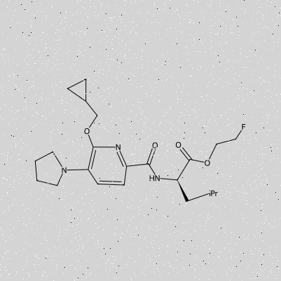 CC(C)C[C@@H](NC(=O)c1ccc(N2CCCC2)c(OCC2CC2)n1)C(=O)OCCF